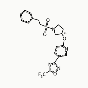 O=S(=O)(CCc1ccccc1)N1CC[C@@H](Oc2ccc(-c3noc(C(F)(F)F)n3)cn2)C1